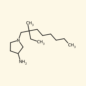 CCCCCCC(C)(CC)CN1CCC(N)C1